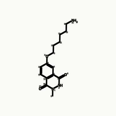 Cn1[nH]c(=O)c2cc(OCCCCCCN)ccc2c1=O